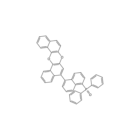 O=P(c1ccccc1)(c1ccccc1)c1cccc2c(-c3cc4c(c5ccccc35)Oc3c(ccc5ccccc35)O4)cccc12